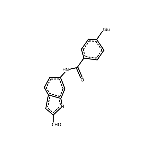 CC(C)(C)c1ccc(C(=O)Nc2ccc3sc(C=O)nc3c2)cc1